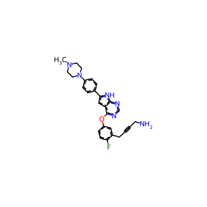 CN1CCN(c2ccc(-c3cc4c(Oc5ccc(F)c(CC#CCN)c5)ncnc4[nH]3)cc2)CC1